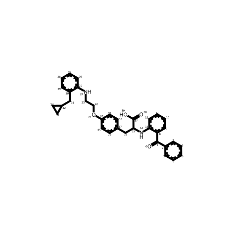 O=C(c1ccccc1)c1ccccc1NC(Cc1ccc(OCCNc2ccccc2CC2CC2)cc1)C(=O)O